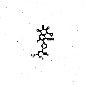 COc1c(N2CCC(C(N)C=C(C(F)(F)F)C(F)(F)F)C2)c(F)cc2c(=O)[nH]c(=O)n(C3CC3)c12